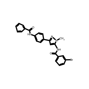 Cn1nc(-c2ccc(NC(=O)c3ccccc3)cc2)cc1NC(=O)c1cccc(Br)c1